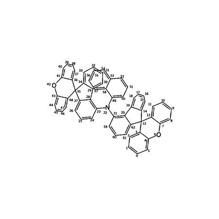 c1ccc2c(c1)Oc1ccccc1C21c2ccccc2-c2c(N(c3cccc4c3-c3ccccc3C43c4ccccc4Oc4ccccc43)c3cccc4ccccc34)cccc21